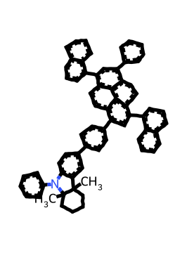 CC12CCCCC1(C)N(c1ccccc1)c1ccc(-c3ccc(-c4cc(-c5cccc6ccccc56)c5ccc6c(-c7ccccc7)cc(-c7cccc8ccccc78)c7ccc4c5c67)cc3)cc12